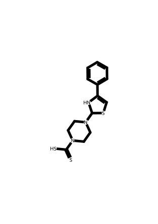 S=C(S)N1CCN(C2NC(c3ccccc3)=CS2)CC1